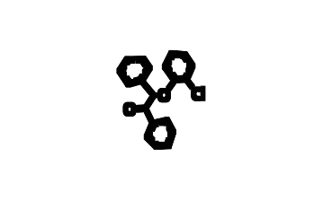 O=C(c1ccccc1)C(Oc1ccccc1Cl)c1ccccc1